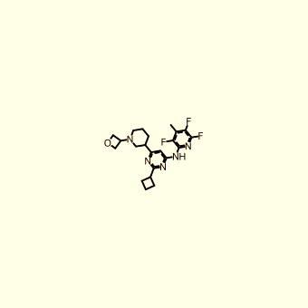 Cc1c(F)c(F)nc(Nc2cc(C3CCCN(C4COC4)C3)nc(C3CCC3)n2)c1F